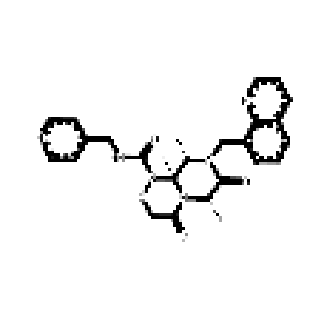 C[C@H]1[C@@H]2N(C(=O)NCc3ccncc3)OCC(=O)N2[C@@H](C)C(=O)N1Cc1cccc2cccnc12